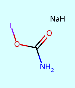 NC(=O)OI.[NaH]